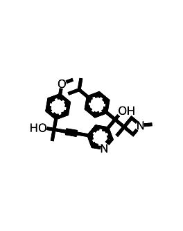 COc1ccc(C(C)(O)C#Cc2cncc(C(O)(c3ccc(C(C)C)cc3)C3(C)CN(C)C3)c2)cc1